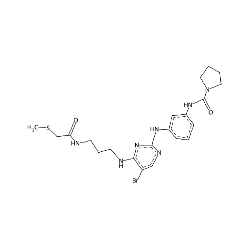 CSCC(=O)NCCCNc1nc(Nc2cccc(NC(=O)N3CCCC3)c2)ncc1Br